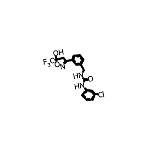 O=C(NCc1cccc(C2=NOC(O)(C(F)(F)F)C2)c1)Nc1cccc(Cl)c1